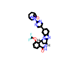 O=C1N[C@@H]2C[C@H](c3c(OC(F)F)cccc31)n1c2nc2ccc(-c3cnc(N4CC5CCC(C4)C(=O)N5)nc3)cc21